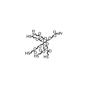 CCCC(=O)OCCOCC(OCCOC(=O)CCS)C(OCCOC(=O)CCS)C(OCCOCCCS)C(COCCOC(=O)CCS)OCCOC(=O)CCS